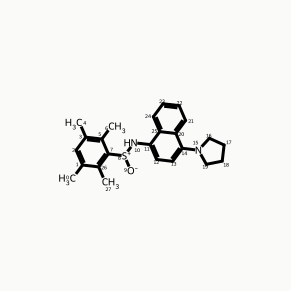 Cc1cc(C)c(C)c([S+]([O-])Nc2ccc(N3CCCC3)c3ccccc23)c1C